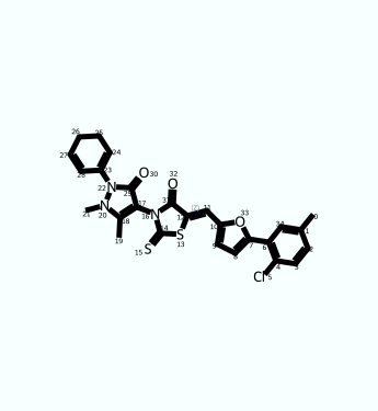 Cc1ccc(Cl)c(-c2ccc(/C=C3\SC(=S)N(c4c(C)n(C)n(C5=CCCC=C5)c4=O)C3=O)o2)c1